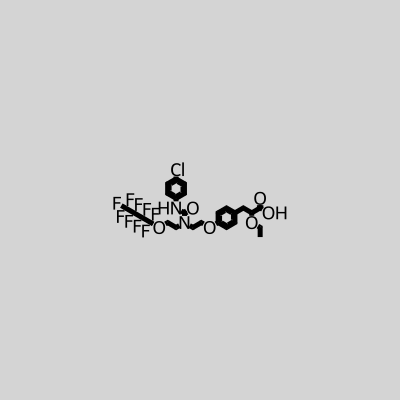 CCOC(Cc1ccc(OCCN(CCOC(F)(F)C(F)(F)C(F)(F)C(F)(F)F)C(=O)Nc2ccc(Cl)cc2)cc1)C(=O)O